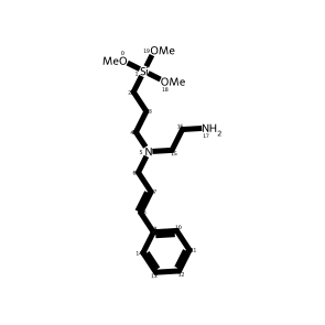 CO[Si](CCCN(C/C=C/c1ccccc1)CCN)(OC)OC